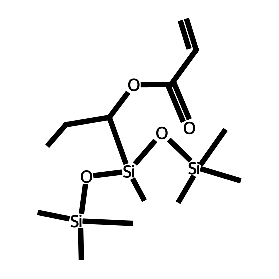 C=CC(=O)OC(CC)[Si](C)(O[Si](C)(C)C)O[Si](C)(C)C